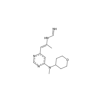 C/C(=C\c1cc(N(C)C2CCOCC2)ncn1)NC=N